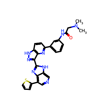 CN(C)CC(=O)Nc1cccc(-c2ccc3[nH]nc(-c4nc5c(-c6cccs6)cncc5[nH]4)c3n2)c1